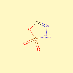 O=S1(=O)NN=CO1